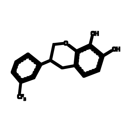 Oc1ccc2c(c1O)OCC(c1cccc(C(F)(F)F)c1)C2